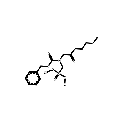 COCCOC(=O)CN(CP(=O)(OCl)OCl)C(=O)OCc1ccccc1